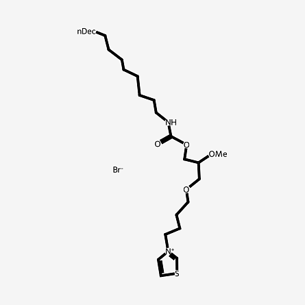 CCCCCCCCCCCCCCCCCCNC(=O)OCC(COCCCC[n+]1ccsc1)OC.[Br-]